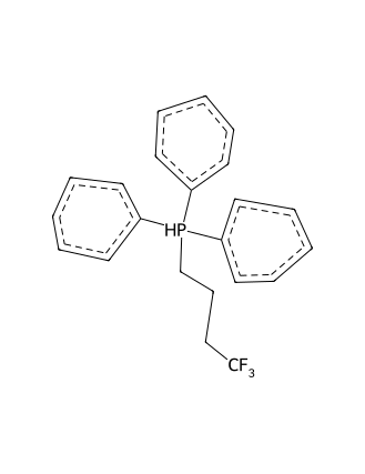 FC(F)(F)CCC[PH](c1ccccc1)(c1ccccc1)c1ccccc1